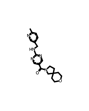 Cc1ccc(CNc2ncc(C(=O)N3CCC4(CCOCC4)C3)cn2)cn1